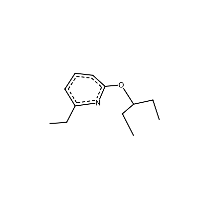 CCc1cccc(OC(CC)CC)n1